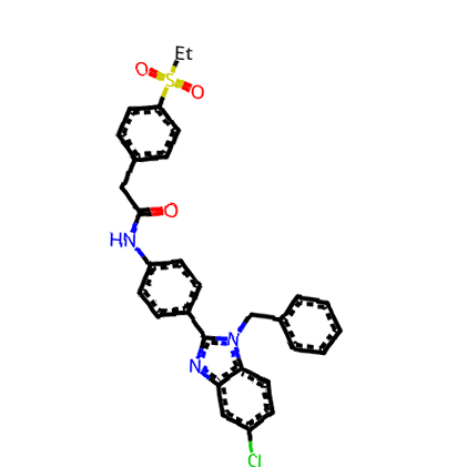 CCS(=O)(=O)c1ccc(CC(=O)Nc2ccc(-c3nc4cc(Cl)ccc4n3Cc3ccccc3)cc2)cc1